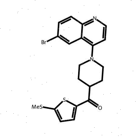 CSc1ccc(C(=O)C2CCN(c3ccnc4ccc(Br)cc34)CC2)s1